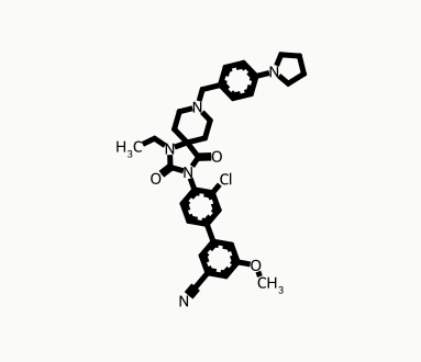 CCN1C(=O)N(c2ccc(-c3cc(C#N)cc(OC)c3)cc2Cl)C(=O)C12CCN(Cc1ccc(N3CCCC3)cc1)CC2